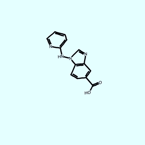 O=C(O)c1ccc2c(c1)ncn2Nc1ccccn1